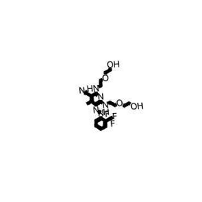 Cc1c(C#N)c(NCCOCCO)nc(NCCOCCO)c1N=Nc1ccccc1C(F)(F)F